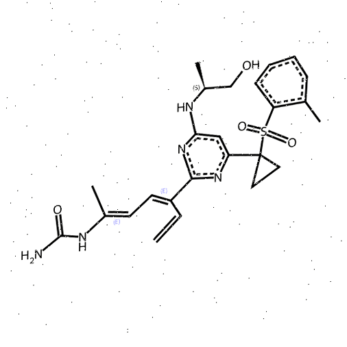 C=C/C(=C\C=C(/C)NC(N)=O)c1nc(N[C@@H](C)CO)cc(C2(S(=O)(=O)c3ccccc3C)CC2)n1